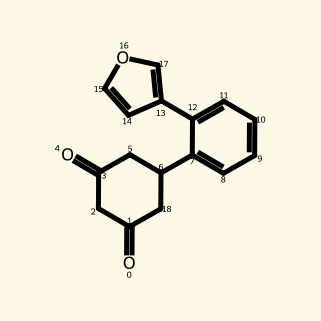 O=C1CC(=O)CC(c2ccccc2-c2ccoc2)C1